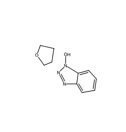 C1CCOC1.On1nnc2ccccc21